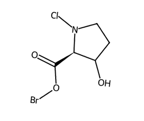 O=C(OBr)[C@@H]1C(O)CCN1Cl